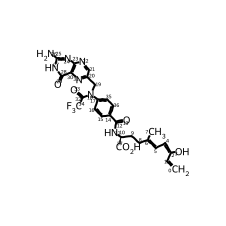 C=C/C(O)=C\C=C(/C)CC[C@H](NC(=O)c1ccc(N(Cc2cnc3nc(N)[nH]c(=O)c3n2)C(=O)C(F)(F)F)cc1)C(=O)O